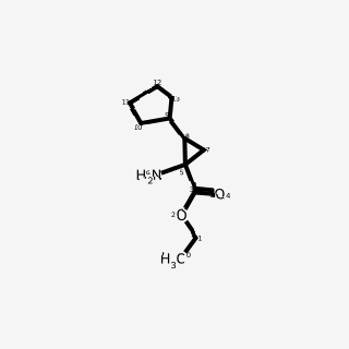 CCOC(=O)C1(N)CC1C1CCCC1